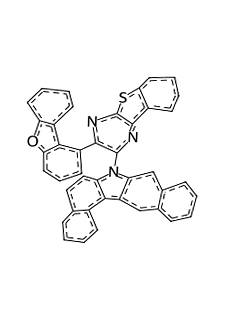 c1ccc2cc3c(cc2c1)c1c2ccccc2ccc1n3-c1nc2c(nc1-c1cccc3oc4ccccc4c13)sc1ccccc12